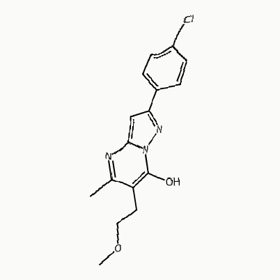 COCCc1c(C)nc2cc(-c3ccc(Cl)cc3)nn2c1O